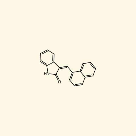 O=C1Nc2ccccc2C1=Cc1cccc2ccccc12